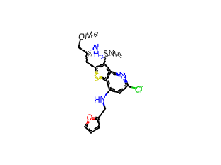 COC[C@H](N)Cc1sc2c(NCc3ccco3)cc(Cl)nc2c1SC